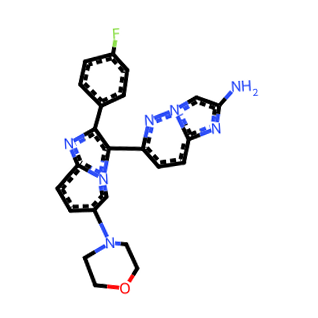 Nc1cn2nc(-c3c(-c4ccc(F)cc4)nc4ccc(N5CCOCC5)cn34)ccc2n1